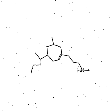 CCCC(C)C1CC=C(CCCNC)CC(C)C1